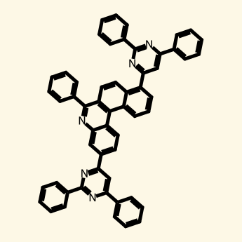 c1ccc(-c2cc(-c3ccc4c(c3)nc(-c3ccccc3)c3ccc5c(-c6cc(-c7ccccc7)nc(-c7ccccc7)n6)cccc5c34)nc(-c3ccccc3)n2)cc1